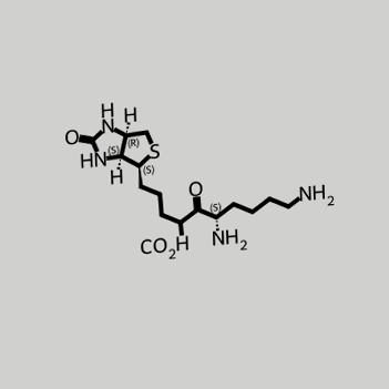 NCCCC[C@H](N)C(=O)C(CCC[C@@H]1SC[C@@H]2NC(=O)N[C@@H]21)C(=O)O